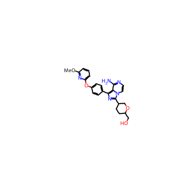 COc1cccc(Oc2ccc(-c3nc(C4CCC(CO)OC4)n4ccnc(N)c34)cc2)n1